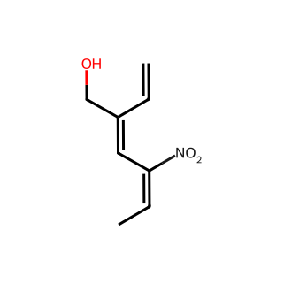 C=C/C(=C\C(=C/C)[N+](=O)[O-])CO